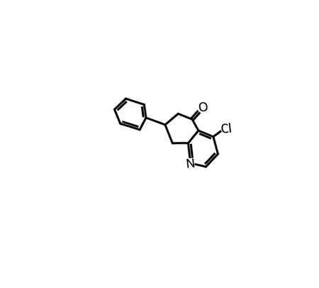 O=C1CC(c2ccccc2)Cc2nccc(Cl)c21